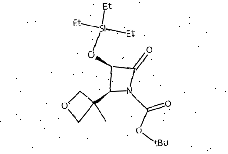 CC[Si](CC)(CC)O[C@H]1C(=O)N(C(=O)OC(C)(C)C)[C@H]1C1(C)COC1